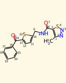 Cc1nnsc1C(=O)NCc1ccc(C(=O)c2ccccc2)s1